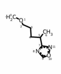 [CH2]OCCCC(C)c1ncon1